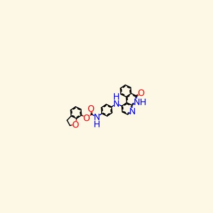 O=C(Nc1ccc(Nc2ccnc3[nH]c(=O)c4ccccc4c23)cc1)Oc1cccc2c1OCC2